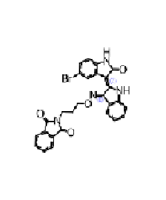 O=C1Nc2ccc(Br)cc2/C1=C1/Nc2ccccc2/C1=N\OCCCN1C(=O)c2ccccc2C1=O